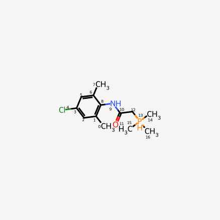 Cc1cc(Cl)cc(C)c1NC(=O)C[PH](C)(C)C